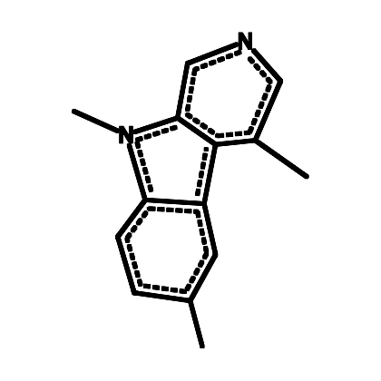 Cc1ccc2c(c1)c1c(C)cncc1n2C